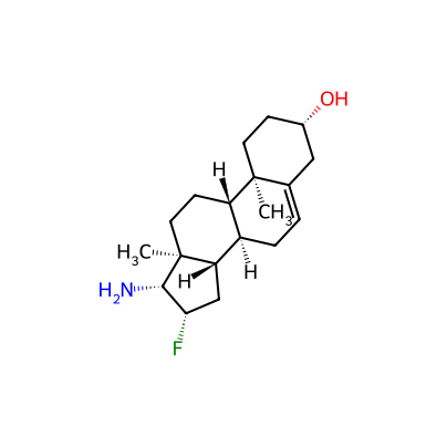 C[C@]12CC[C@H]3[C@@H](CC=C4C[C@@H](O)CC[C@@]43C)[C@@H]1C[C@H](F)[C@@H]2N